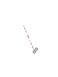 CC(=O)CCOCCOCCOCCOCCOCCOCCNC(=O)OCC1c2ccccc2-c2ccccc21